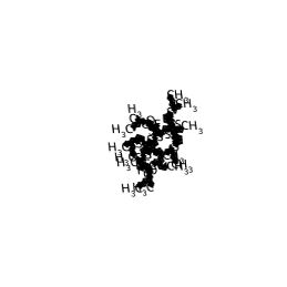 CCCCC(CC)COC(=O)c1sc2c(-c3cc4c(-c5ccc(CC(CC)CCCC)s5)c5sc(-c6sc(-c7cc8c(-c9ccc(SCC(CC)CCCC)s9)c9sc(C)cc9c(-c9ccc(SCC(CC)CCCC)s9)c8s7)c7c(F)c(C(=O)OCC(CC)CCCC)sc67)cc5c(-c5ccc(CC(CC)CCCC)s5)c4s3)sc(C)c2c1F